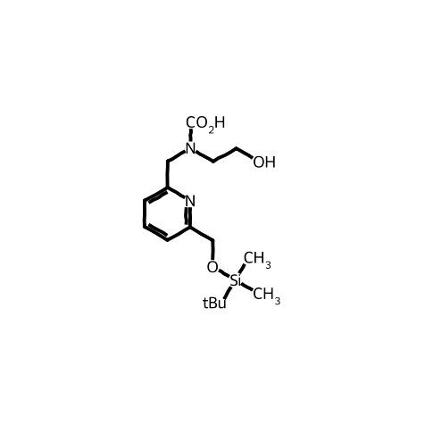 CC(C)(C)[Si](C)(C)OCc1cccc(CN(CCO)C(=O)O)n1